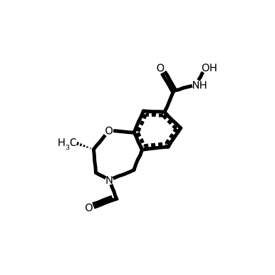 C[C@H]1CN(C=O)Cc2ccc(C(=O)NO)cc2O1